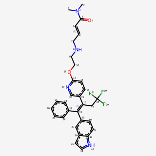 CN(C)C(=O)/C=C/CNCCOc1ccc(/C(CC(F)(F)F)=C(\c2ccccc2)c2ccc3[nH]ccc3c2)cn1